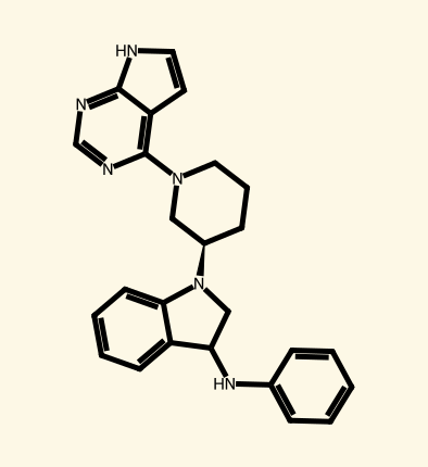 c1ccc(NC2CN([C@@H]3CCCN(c4ncnc5[nH]ccc45)C3)c3ccccc32)cc1